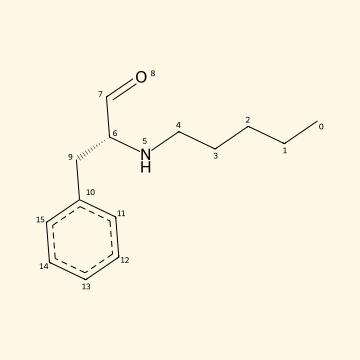 CCCCCN[C@@H](C=O)Cc1ccccc1